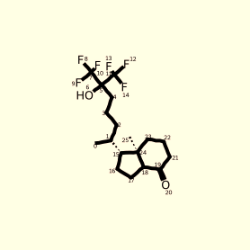 CC(CCCC(O)(C(F)(F)F)C(F)(F)F)[C@H]1CCC2C(=O)CCC[C@@]21C